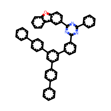 c1ccc(-c2ccc(-c3cc(-c4ccc(-c5ccccc5)cc4)cc(-c4cccc(-c5nc(-c6ccccc6)nc(-c6ccc7oc8ccccc8c7c6)n5)c4)c3)cc2)cc1